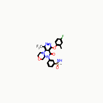 Cc1cc(F)ccc1Oc1nnc(C(F)(F)F)c(N2CCOCC2)c1C(=O)Nc1cccc([S@@](C)(=N)=O)c1